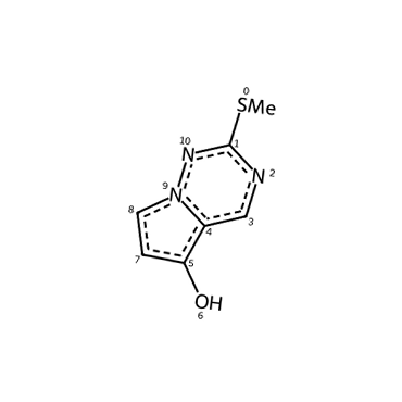 CSc1ncc2c(O)ccn2n1